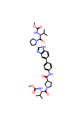 COC(=O)N[C@H](C(=O)N1CCC(C(=O)Nc2ccc(-c3ccc4[nH]c([C@@H]5CCCN5C(=O)[C@@H](NC(=O)OC)C(C)C)nc4c3)cc2)C1)C(C)C